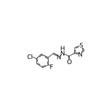 O=C(NN=Cc1cc(Cl)ccc1F)c1cscn1